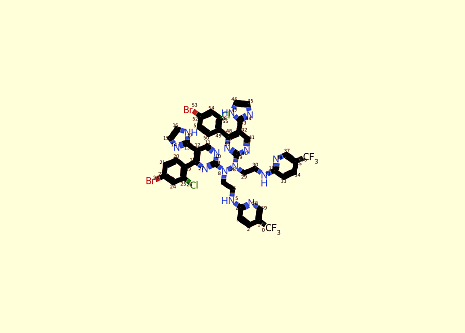 FC(F)(F)c1ccc(NCCN(c2ncc(-c3ncc[nH]3)c(-c3ccc(Br)cc3Cl)n2)N(CCNc2ccc(C(F)(F)F)cn2)c2ncc(-c3ncc[nH]3)c(-c3ccc(Br)cc3Cl)n2)nc1